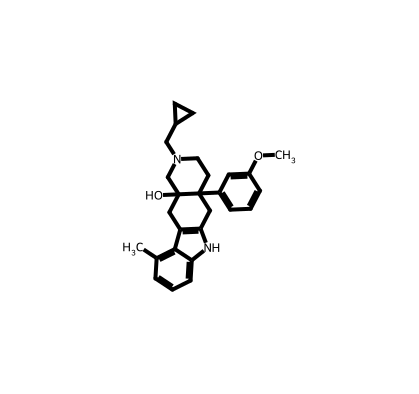 COc1cccc(C23CCN(CC4CC4)CC2(O)Cc2c([nH]c4cccc(C)c24)C3)c1